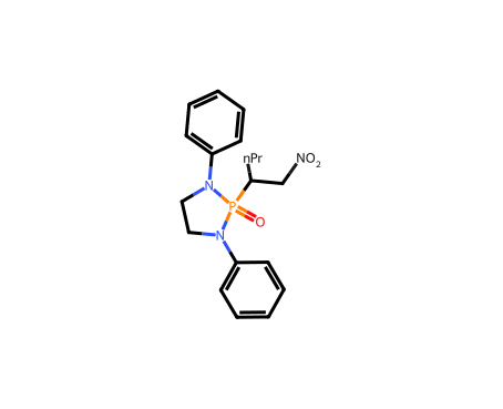 CCCC(C[N+](=O)[O-])P1(=O)N(c2ccccc2)CCN1c1ccccc1